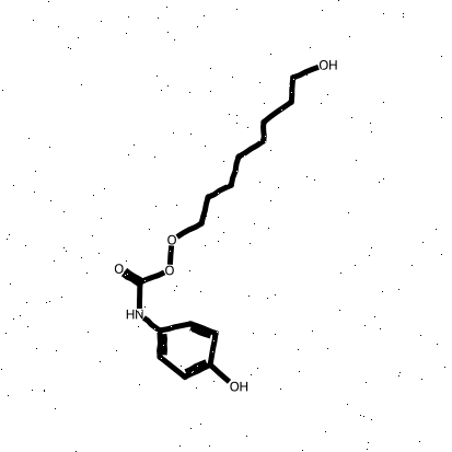 O=C(Nc1ccc(O)cc1)OOCCCCCCCCO